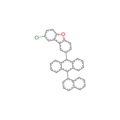 Clc1ccc2oc3ccc(-c4c5ccccc5c(-c5cccc6ccccc56)c5ccccc45)cc3c2c1